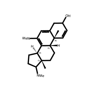 CNC1=C2[C@@H](CC[C@]3(C)C(NC)CC[C@@H]23)[C@@]2(C)C=CC(O)CC2=C1